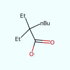 CCCCC(CC)(CC)C([O])=O